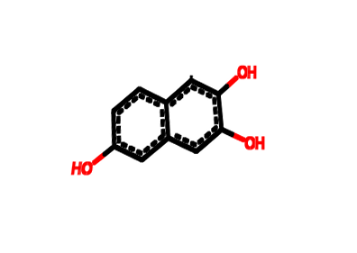 Oc1ccc2[c]c(O)c(O)cc2c1